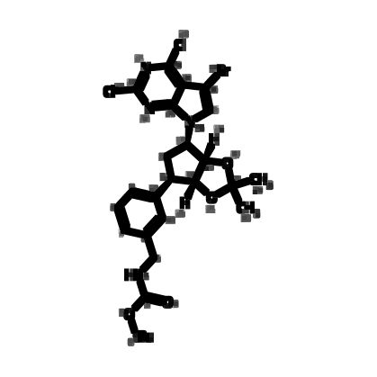 CC(C)(C)OC(=O)NCc1cccc([C@H]2C[C@@H](n3cc(Br)c4c(Cl)nc(Cl)nc43)[C@@H]3OC(C)(C)O[C@@H]32)c1